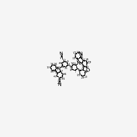 N#Cc1cc(-c2cccc(-n3c4cccnc4c4ccc5oc6ccccc6c5c43)c2)cc(-n2c3ccccc3c3cc(C#N)ccc32)c1